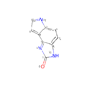 O=C1N=c2c(ccc3c2=CC=N3)N1